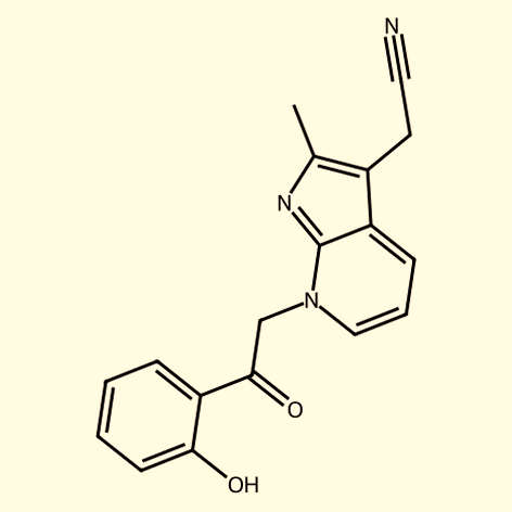 Cc1nc2n(CC(=O)c3ccccc3O)cccc-2c1CC#N